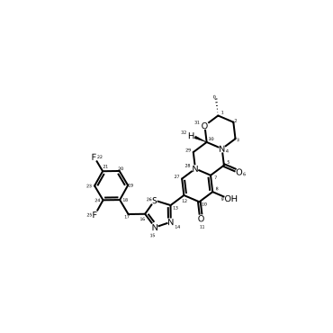 C[C@@H]1CCN2C(=O)c3c(O)c(=O)c(-c4nnc(Cc5ccc(F)cc5F)s4)cn3C[C@@H]2O1